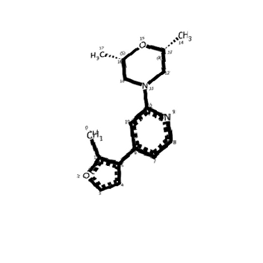 Cc1occc1-c1ccnc(N2C[C@@H](C)O[C@@H](C)C2)c1